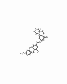 Cc1ncc(Oc2c(F)cc(COc3cc4n(c(=O)n3)CC[C@@H]3COCCN43)cc2F)cn1